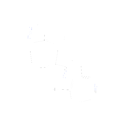 C\C1=c2/ccnn/c2=C/C=C\CC(c2ccc3/c(n2)=C(/C)CCC/C=N\C=3)C1